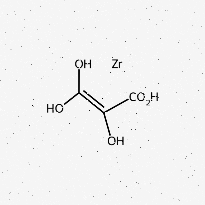 O=C(O)C(O)=C(O)O.[Zr]